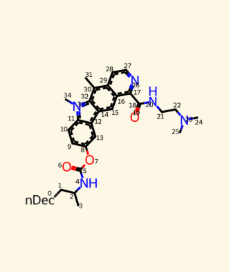 CCCCCCCCCCCC(C)NC(=O)Oc1ccc2c(c1)c1cc3c(C(=O)NCCN(C)C)nccc3c(C)c1n2C